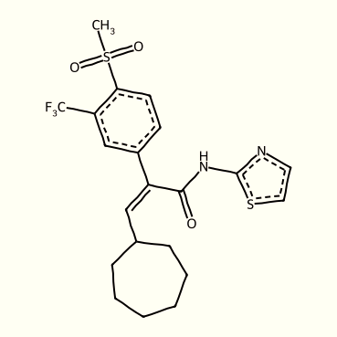 CS(=O)(=O)c1ccc(C(=CC2CCCCCC2)C(=O)Nc2nccs2)cc1C(F)(F)F